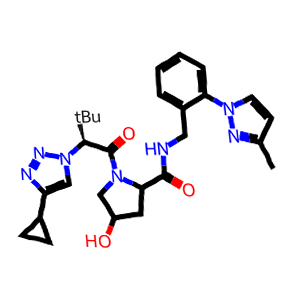 Cc1ccn(-c2ccccc2CNC(=O)C2CC(O)CN2C(=O)[C@@H](n2cc(C3CC3)nn2)C(C)(C)C)n1